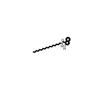 CCCCCCCCCCCCCCCCCNC(=O)c1c(O)ccc2ccccc12